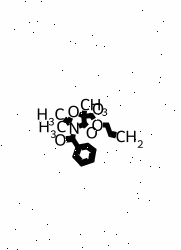 C=CCOC(=O)C1(C)OC(C)(C)N(C(=O)c2ccccc2)C1=O